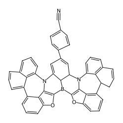 N#Cc1ccc(C2=CC3C4B(c5oc6cccc7c6c5N3c3cccc5c3C7CC=C5)c3oc5cccc6c7cccc8cccc(c87)n(c3c56)C4=C2)cc1